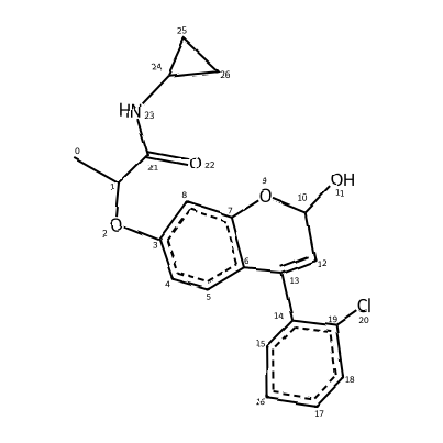 CC(Oc1ccc2c(c1)OC(O)C=C2c1ccccc1Cl)C(=O)NC1CC1